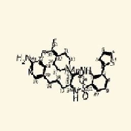 CC(=O)Nc1c(-c2cccs2)cccc1S(=O)(=O)N[C@@H](CCCc1ccc(N)nc1)C(=O)N1CCC(=C(F)F)CC1